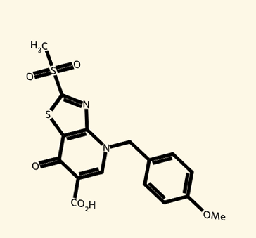 COc1ccc(Cn2cc(C(=O)O)c(=O)c3sc(S(C)(=O)=O)nc32)cc1